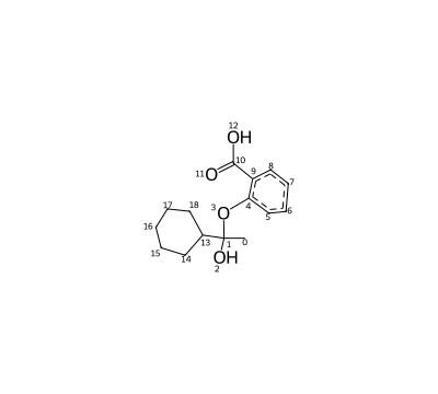 CC(O)(Oc1ccccc1C(=O)O)C1CCCCC1